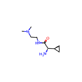 CN(C)CCNC(=O)[C@H](N)C1CC1